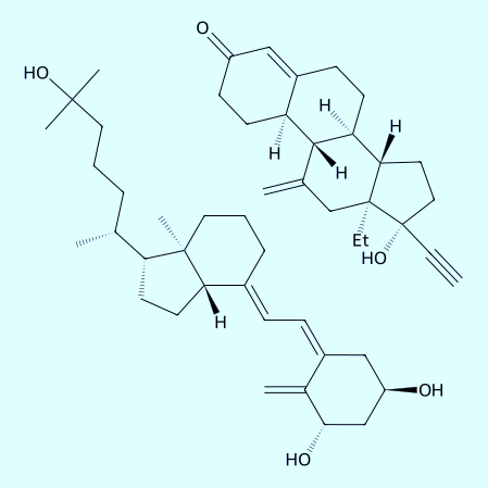 C#C[C@]1(O)CC[C@H]2[C@@H]3CCC4=CC(=O)CC[C@@H]4[C@H]3C(=C)C[C@@]21CC.C=C1/C(=C\C=C2/CCC[C@]3(C)[C@@H]([C@H](C)CCCC(C)(C)O)CC[C@@H]23)C[C@@H](O)C[C@@H]1O